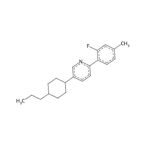 CCCC1CCC(c2ccc(-c3ccc(C)cc3F)nc2)CC1